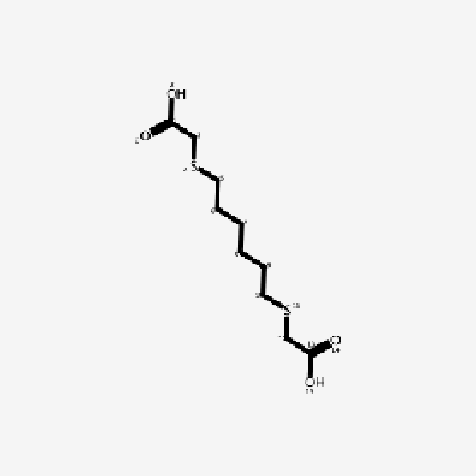 O=C(O)CSCCCCCCSCC(=O)O